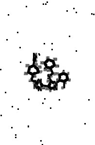 Cc1ccccc1-n1ncc(-c2nnn(Cc3ccc(C#N)cc3)n2)c1SCc1ccccc1